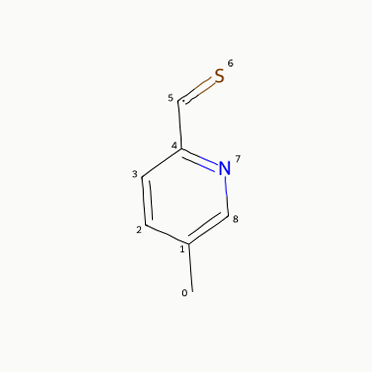 Cc1ccc([C]=S)nc1